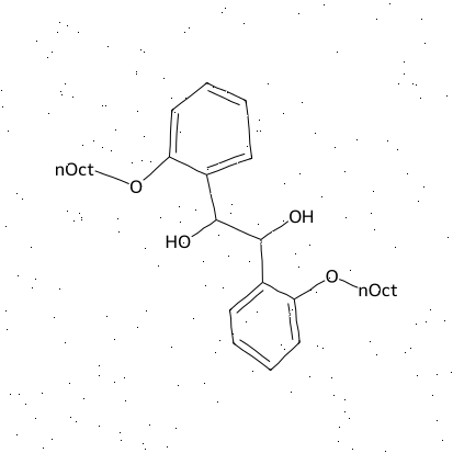 CCCCCCCCOc1ccccc1C(O)C(O)c1ccccc1OCCCCCCCC